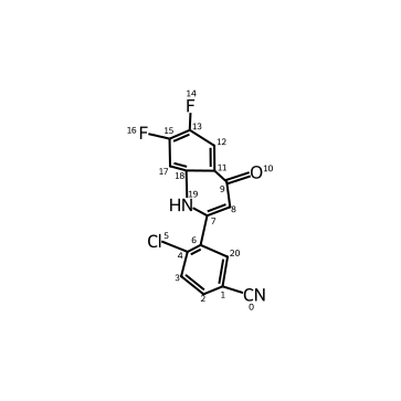 N#Cc1ccc(Cl)c(-c2cc(=O)c3cc(F)c(F)cc3[nH]2)c1